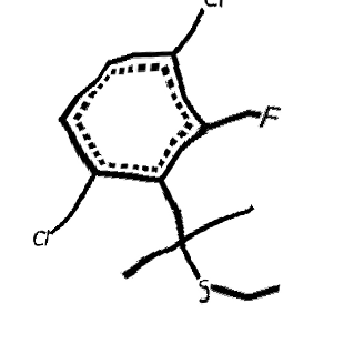 CSC(C)(C)c1c(Cl)ccc(Cl)c1F